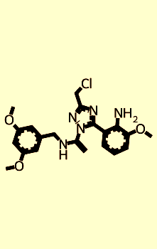 C=C(NCc1cc(OC)cc(OC)c1)n1nc(CCl)nc1-c1cccc(OC)c1N